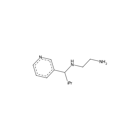 CC(C)C(NCCN)c1cccnc1